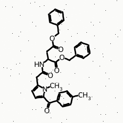 Cc1ccc(C(=O)c2ccc(CC(=O)NC(CC(=O)OCc3ccccc3)C(=O)OCc3ccccc3)n2C)cc1